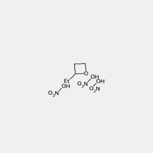 CCC1CCO1.O=[N+]([O-])O.O=[N+]([O-])O.O=[N+]([O-])O